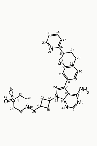 Nc1ncnc2c1c(-c1ccc3c(c1)OC(c1ccccn1)CC3)cn2C1CC(CN2CCS(=O)(=O)CC2)C1